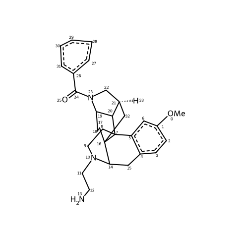 COc1ccc2c(c1)C13CCN(CCN)C(C2)C12CCC1C3[C@@H](CN1C(=O)c1ccccc1)C2